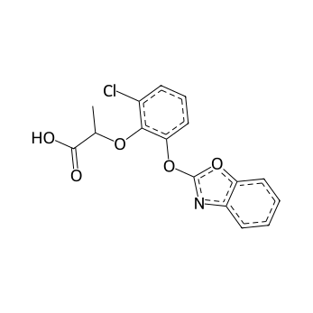 CC(Oc1c(Cl)cccc1Oc1nc2ccccc2o1)C(=O)O